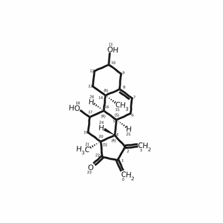 C=C1C(=C)[C@H]2[C@@H]3CC=C4CC(O)CC[C@]4(C)[C@@H]3C(O)C[C@]2(C)C1=O